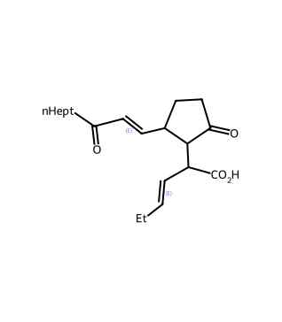 CC/C=C/C(C(=O)O)C1C(=O)CCC1/C=C/C(=O)CCCCCCC